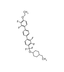 CCOc1ccc(-c2ccc(-c3ccc(C(F)(F)OC4CCC(CC)CC4)c(F)c3F)cc2)c(F)c1F